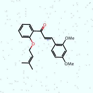 COc1ccc(/C=C/C(=O)c2ccccc2OCC=C(C)C)c(OC)c1